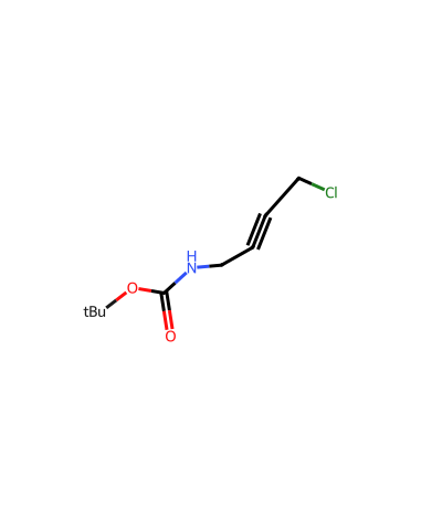 CC(C)(C)OC(=O)NCC#CCCl